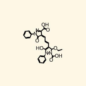 CCOC1C(C=CC=C2C(=O)N(c3ccccc3)N=C2C(=O)O)=C(O)N(c2ccccc2)N1C(=O)O